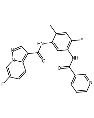 Cc1cc(F)c(NC(=O)c2cccnc2)cc1NC(=O)c1cnn2cc(F)ccc12